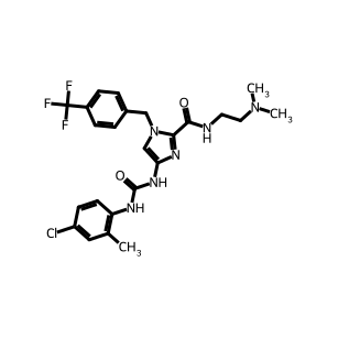 Cc1cc(Cl)ccc1NC(=O)Nc1cn(Cc2ccc(C(F)(F)F)cc2)c(C(=O)NCCN(C)C)n1